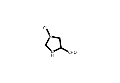 O=CC1CN(Cl)CN1